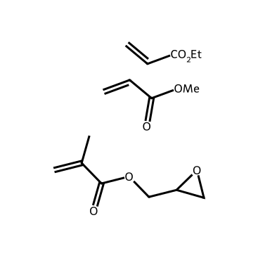 C=C(C)C(=O)OCC1CO1.C=CC(=O)OC.C=CC(=O)OCC